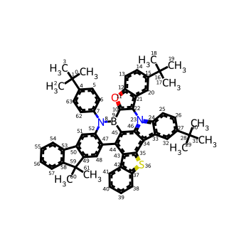 CC(C)(C)c1ccc(N2B3c4oc5ccc(C(C)(C)C)cc5c4-n4c5ccc(C(C)(C)C)cc5c5c6sc7ccccc7c6c(c3c54)-c3cc4c(cc32)-c2ccccc2C4(C)C)cc1